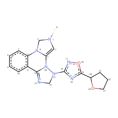 FN1C=C2N(C1)c1ccccc1C1=NCN(c3noc(C4CCCO4)n3)N21